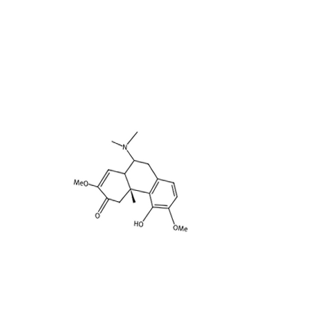 COC1=CC2C(N(C)C)Cc3ccc(OC)c(O)c3[C@]2(C)CC1=O